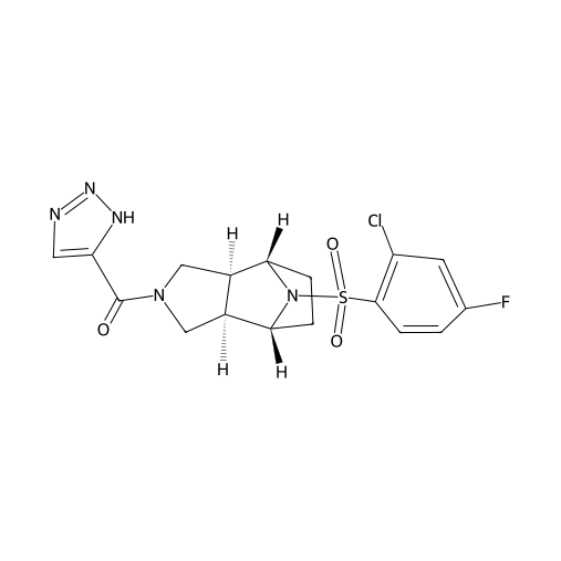 O=C(c1cnn[nH]1)N1C[C@@H]2[C@H](C1)[C@H]1CC[C@@H]2N1S(=O)(=O)c1ccc(F)cc1Cl